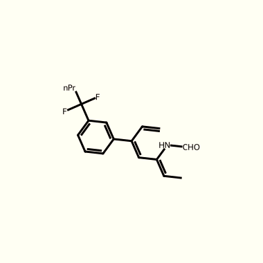 C=C/C(=C\C(=C\C)NC=O)c1cccc(C(F)(F)CCC)c1